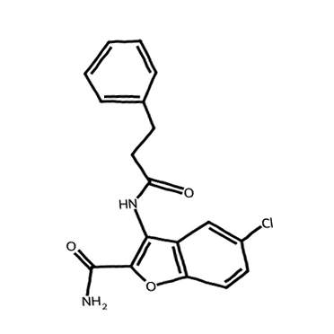 NC(=O)c1oc2ccc(Cl)cc2c1NC(=O)CCc1ccccc1